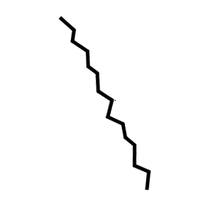 CCCCCCC[CH]CCCCCCC